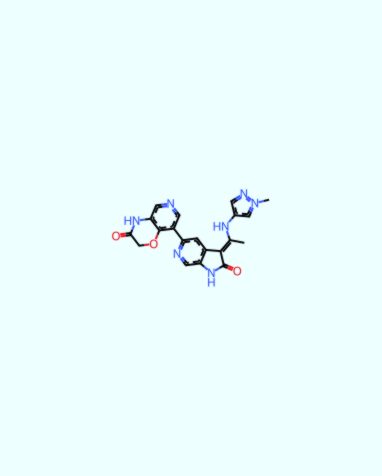 CC(Nc1cnn(C)c1)=C1C(=O)Nc2cnc(-c3cncc4c3OCC(=O)N4)cc21